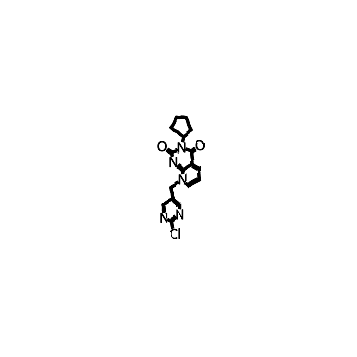 O=c1nc2n(Cc3cnc(Cl)nc3)cccc-2c(=O)n1C1CCCC1